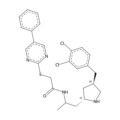 CC(C[C@@H]1C[C@@H](Cc2ccc(Cl)c(Cl)c2)CN1)NC(=O)CSc1ncc(-c2ccccc2)cn1